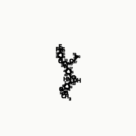 CCS(=O)(=O)c1ccc([C@H](CO)NC(=O)c2ccc(N3C[C@H](Oc4ccc(C(F)(F)F)cc4)C[C@H]3COCC3CC3)cc2)cc1